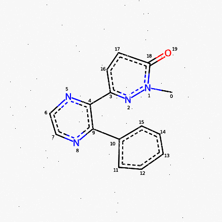 Cn1nc(-c2nccnc2-c2ccccc2)ccc1=O